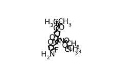 CN(C)C(=O)Oc1ccc2c(c1)OC(=O)N(Cc1cccc(N)c1F)C21CN(C(=O)OC(C)(C)C)C1